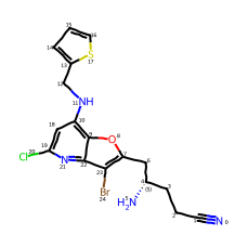 N#CCC[C@H](N)Cc1oc2c(NCc3cccs3)cc(Cl)nc2c1Br